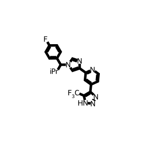 CC(C)C(c1ccc(F)cc1)n1cnc(-c2cc(-c3nn[nH]c3C(F)(F)F)ccn2)c1